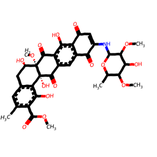 COC(=O)c1c(C)cc2c(c1O)[C@]1(O)C(=O)c3cc4c(c(O)c3C(=O)[C@]1(OC)[C@H](O)C2)C(=O)C=C(NC1OC(C)C(OC)C(O)C1OC)C4=O